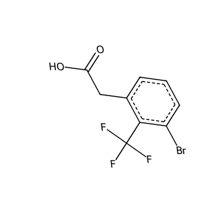 O=C(O)Cc1cccc(Br)c1C(F)(F)F